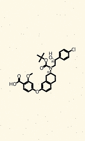 COc1cc(Oc2ccc3c(c2)C[C@@H](N(C[C@H](O)c2ccc(Cl)cc2)C(=O)OC(C)(C)C)CC3)ccc1C(=O)O